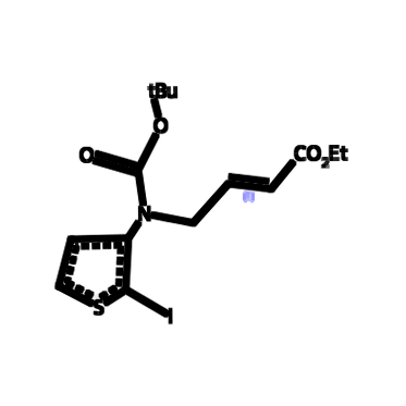 CCOC(=O)/C=C/CN(C(=O)OC(C)(C)C)c1ccsc1I